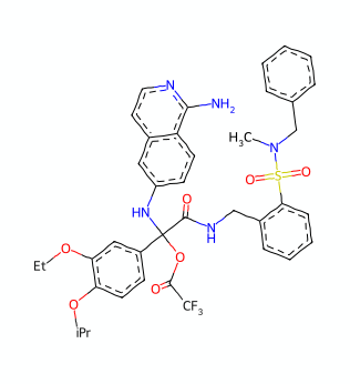 CCOc1cc(C(Nc2ccc3c(N)nccc3c2)(OC(=O)C(F)(F)F)C(=O)NCc2ccccc2S(=O)(=O)N(C)Cc2ccccc2)ccc1OC(C)C